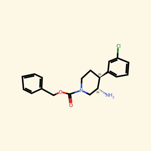 N[C@@H]1CN(C(=O)OCc2ccccc2)CC[C@H]1c1cccc(Cl)c1